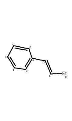 CC/C=C/c1cc[c]cc1